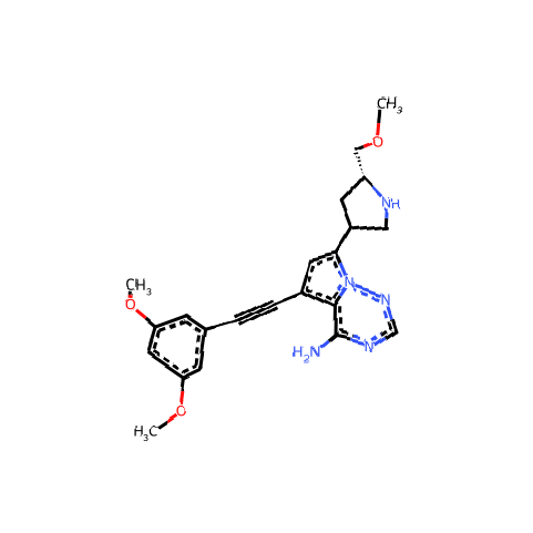 COC[C@H]1CC(c2cc(C#Cc3cc(OC)cc(OC)c3)c3c(N)ncnn23)CN1